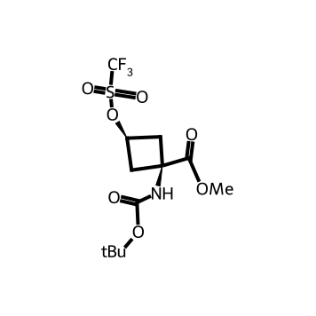 COC(=O)[C@]1(NC(=O)OC(C)(C)C)C[C@@H](OS(=O)(=O)C(F)(F)F)C1